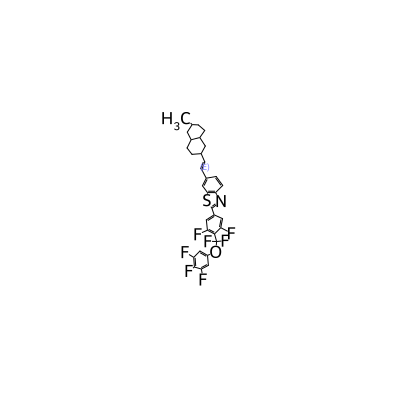 CC1CCC2CC(/C=C/c3ccc4nc(-c5cc(F)c(C(F)(F)Oc6cc(F)c(F)c(F)c6)c(F)c5)sc4c3)CCC2C1